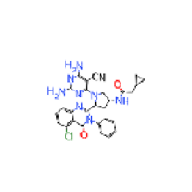 N#Cc1c(N)nc(N)nc1N1C[C@H](NC(=O)CC2CC2)CC1c1nc2cccc(Cl)c2c(=O)n1-c1ccccc1